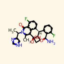 Cc1c(C(=O)O)c2c([C@@H](c3cccc(F)c3C(N)=O)C3CCC3)ccc(F)c2c(=O)n1C(C)c1c[nH]cn1